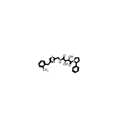 Cc1ccccc1Cc1csc(CNC(=O)[C@H](O)[C@@H](O)C(=O)N2CCCC2c2ccccc2)n1